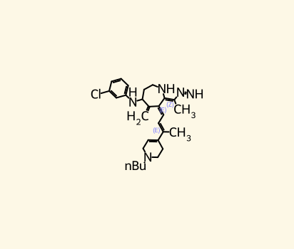 C=C1C(=C\C=C(/C)C2=CCN(CCCC)CC2)/C(=C(\C)N=N)NCCC1Nc1cccc(Cl)c1